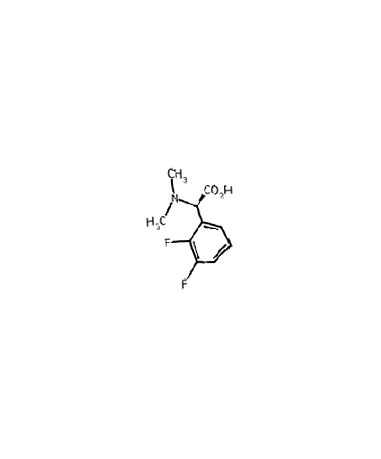 CN(C)[C@@H](C(=O)O)c1cccc(F)c1F